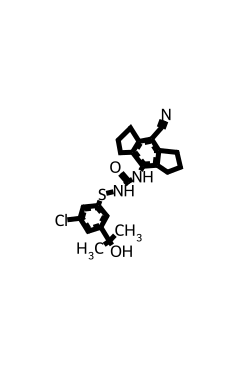 CC(C)(O)c1cc(Cl)cc(SNC(=O)Nc2c3c(c(C#N)c4c2CCC4)CCC3)c1